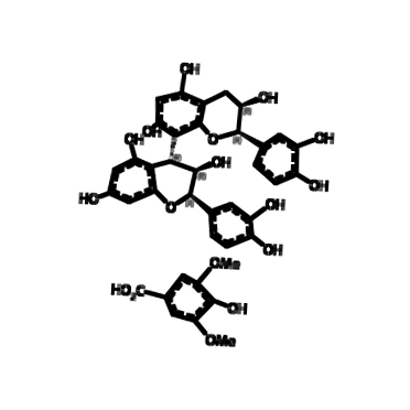 COc1cc(C(=O)O)cc(OC)c1O.Oc1cc(O)c2c(c1)O[C@H](c1ccc(O)c(O)c1)[C@H](O)[C@H]2c1c(O)cc(O)c2c1O[C@H](c1ccc(O)c(O)c1)[C@H](O)C2